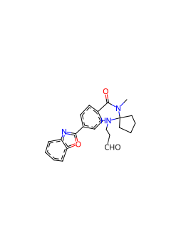 CN(C(=O)c1ccc(-c2nc3ccccc3o2)cc1)C1(NCCC=O)CCCC1